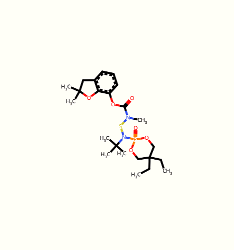 CCC1(CC)COP(=O)(N(SN(C)C(=O)Oc2cccc3c2OC(C)(C)C3)C(C)(C)C)OC1